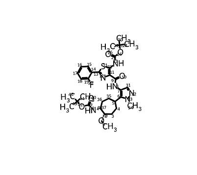 CO[C@H]1CCC(c2c(NC(=O)c3nc(-c4ccccc4F)sc3NC(=O)OC(C)(C)C)cnn2C)CC[C@H]1NC(=O)OC(C)(C)C